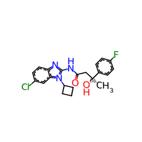 C[C@](O)(CC(=O)Nc1nc2ccc(Cl)cc2n1C1CCC1)c1ccc(F)cc1